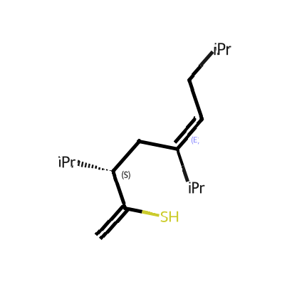 C=C(S)[C@@H](C/C(=C\CC(C)C)C(C)C)C(C)C